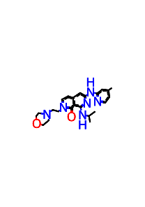 Cc1ccnc(Nc2cc3ccn(CCN4CCOCC4)c(=O)c3c(NC(C)C)n2)c1